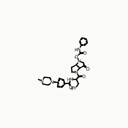 CC(C)CC(NC(=O)c1ccc(N2CCN(C)CC2)cc1)C(=O)N1CCC2C1C(=O)CN2OC(=O)Nc1ccccc1